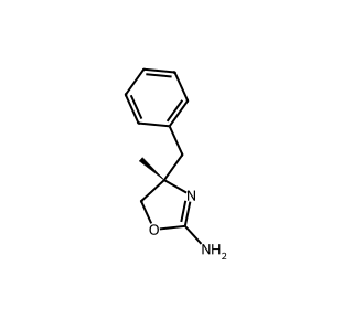 C[C@]1(Cc2ccccc2)COC(N)=N1